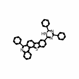 c1ccc(C2=NC(c3ccccc3)NC(c3ccc4sc5c(ccc6c(-c7ccccc7)nc7ccccc7c65)c4c3)=N2)cc1